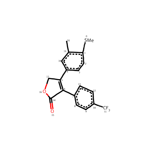 CSc1ccc(C2=C(c3ccc(C(F)(F)F)cc3)C(=O)OC2)cc1C